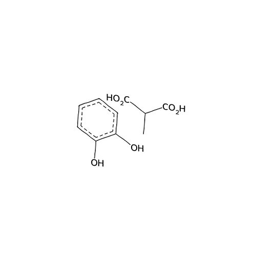 CC(C(=O)O)C(=O)O.Oc1ccccc1O